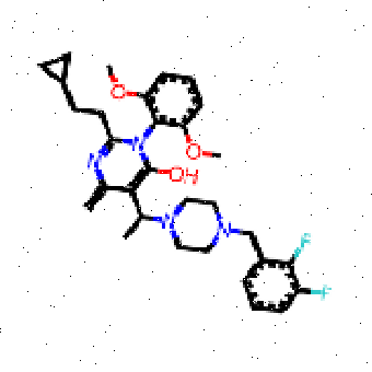 C=C1N=C(CCC2CC2)N(c2c(OC)cccc2OC)C(O)=C1C(C)N1CCN(Cc2cccc(F)c2F)CC1